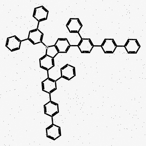 c1ccc(-c2ccc(-c3ccc(-c4ccc5c(c4)c4cc(-c6ccc(-c7ccc(-c8ccccc8)cc7)cc6-c6ccccc6)ccc4n5-c4cc(-c5ccccc5)cc(-c5ccccc5)c4)c(-c4ccccc4)c3)cc2)cc1